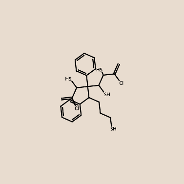 C=C(Cl)C(S)[C](S)C(c1ccccc1)(C(S)C(=C)Cl)C(CC[CH]S)c1ccccc1